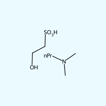 CCCN(C)C.O=S(=O)(O)CCO